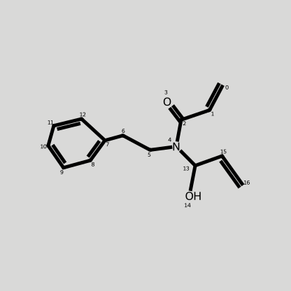 C=CC(=O)N(CCc1ccccc1)C(O)C=C